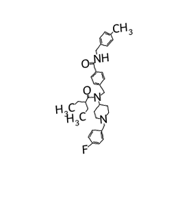 CCC(CC)C(=O)N(Cc1ccc(C(=O)NCc2ccc(C)cc2)cc1)C1CCN(Cc2ccc(F)cc2)CC1